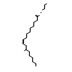 CCCCCCC(O)C/C=C\CCCCCCCC(=O)NNCCC